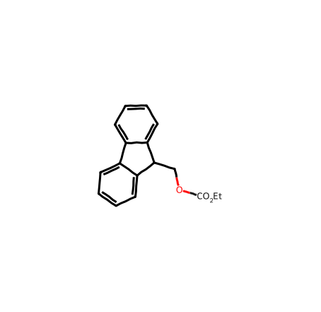 C[CH]OC(=O)OCC1c2ccccc2-c2ccccc21